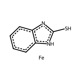 Sc1nc2ccccc2[nH]1.[Fe]